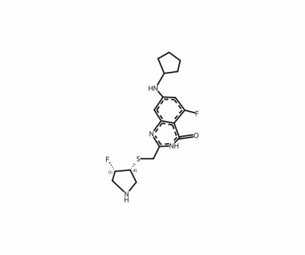 O=c1[nH]c(CS[C@@H]2CNC[C@@H]2F)nc2cc(NC3CCCC3)cc(F)c12